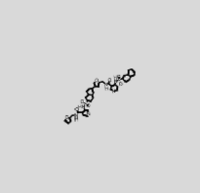 O=C(NCc1ccco1)c1ccncc1NS(=O)(=O)c1ccc2cc(-c3coc(CNC(=O)c4cnccc4NS(=O)(=O)c4ccc5ccccc5c4)c3)ccc2c1